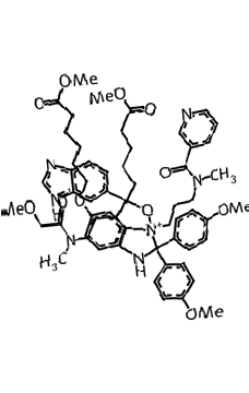 COCC(=O)N(C)CCCC(CCCCC(=O)OC)(O[N+]1(CCCN(C)C(=O)c2cccnc2)c2cc(OCCCCCC(=O)OC)ccc2NC1(c1ccc(OC)cc1)c1ccc(OC)cc1)c1ccc2nc[nH]c2c1